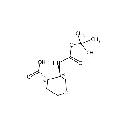 CC(C)(C)OC(=O)N[C@H]1COCC[C@@H]1C(=O)O